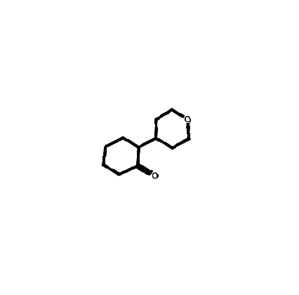 O=C1CCCCC1C1CCOCC1